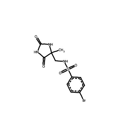 CC1(CNS(=O)(=O)c2ccc(Br)cc2)NC(=O)NC1=O